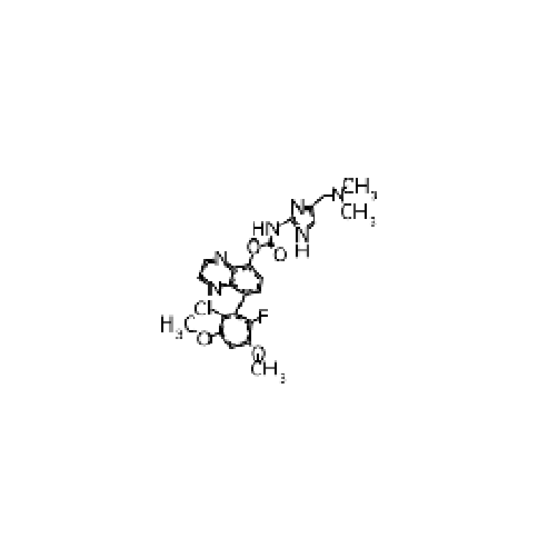 COc1cc(OC)c(Cl)c(-c2ccc(OC(=O)Nc3nc(CN(C)C)c[nH]3)c3nccnc23)c1F